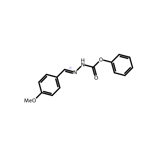 COc1ccc(/C=N/NC(=O)Oc2ccccc2)cc1